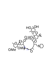 CCC1OC(=O)CC(O)C(C)C(OC2CC(N(C)C)C(OC3CC(C)(O)C(O)C(C)O3)C(C)O2)C(CCN2CCCCC2)CC(C)C(=O)/C=C/C(C)=C/C1COC1OC(C)CC(OC)C1OC